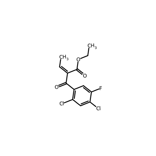 CC=C(C(=O)OCC)C(=O)c1cc(F)c(Cl)cc1Cl